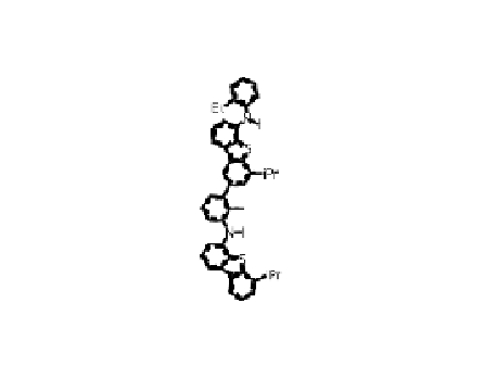 CCc1ccccc1N(I)c1cccc2c1sc1c(C(C)C)cc(-c3cccc(N(I)c4cccc5c4sc4c(C(C)C)cccc45)c3C)cc12